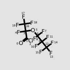 O=C(Cl)C(F)(OC(F)(F)C(F)(F)C(F)(F)F)C(F)(F)F